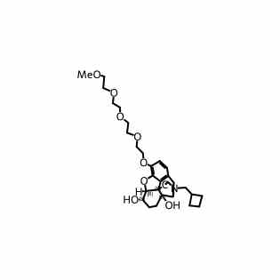 COCCOCCOCCOCCOc1ccc2c3c1O[C@H]1[C@@H](O)CC[C@@]4(O)C(C2)N(CC2CCC2)CC[C@]314